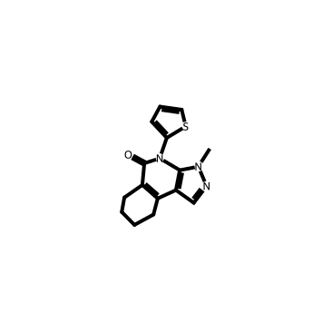 Cn1ncc2c3c(c(=O)n(-c4cccs4)c21)CCCC3